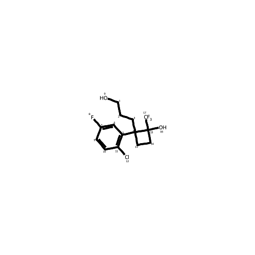 OCCCC1(c2cc(F)ccc2Cl)CCC1(O)C(F)(F)F